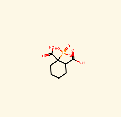 O=C(O)C1CCCCC1(C(=O)O)P(=O)(O)O